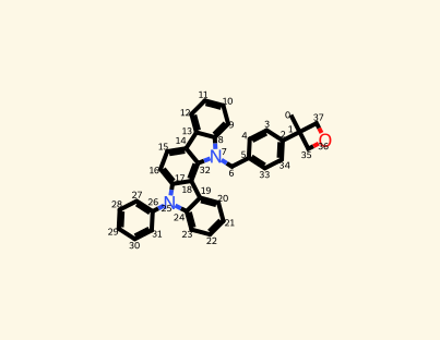 CC1(c2ccc(Cn3c4ccccc4c4ccc5c(c6ccccc6n5-c5ccccc5)c43)cc2)COC1